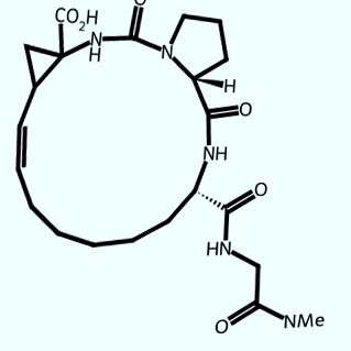 CNC(=O)CNC(=O)[C@@H]1CCCCC/C=C\C2CC2(C(=O)O)NC(=O)N2CCC[C@@H]2C(=O)N1